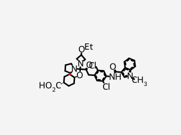 CCOC1CN(C(O[C@H]2CC[C@H](C(=O)O)CC2)(C(=O)Cc2cc(Cl)c(NC(=O)c3cn(C)c4ccccc34)cc2Cl)N2CCCC2)C1